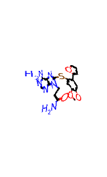 NC(=O)CCn1c(Sc2cc3c(cc2-c2ccco2)OCO3)nc2c(N)ncnc21